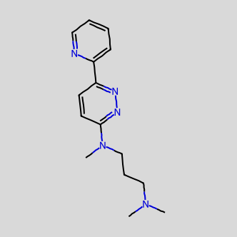 CN(C)CCCN(C)c1ccc(-c2ccccn2)nn1